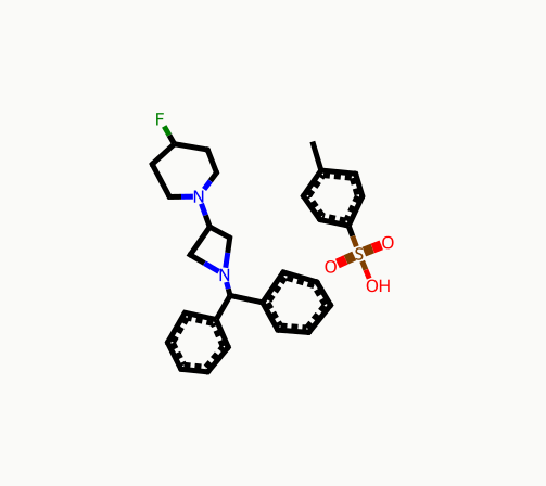 Cc1ccc(S(=O)(=O)O)cc1.FC1CCN(C2CN(C(c3ccccc3)c3ccccc3)C2)CC1